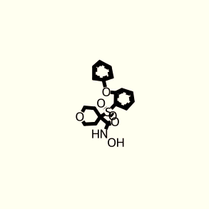 O=C(NO)C1(S(=O)(=O)c2ccccc2Oc2ccccc2)CCOCC1